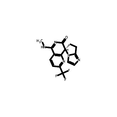 CNC1=NC(=O)[C@]2(CCc3nccn32)c2nc(C(F)(F)F)ccc21